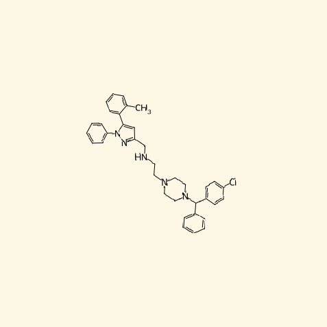 Cc1ccccc1-c1cc(CNCCN2CCN(C(c3ccccc3)c3ccc(Cl)cc3)CC2)nn1-c1ccccc1